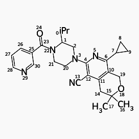 CC(C)C1CN(c2nc(C3CC3)c3c(c2C#N)CC(C)(C)OC3)CCN1C(=O)c1cccnc1